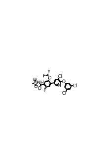 CS(=O)(=O)NC(=O)c1cc(OC(F)F)c(-c2cnc(Oc3cc(Cl)cc(Cl)c3)c(Cl)c2)cc1F